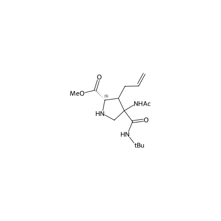 C=CCC1[C@@H](C(=O)OC)NCC1(NC(C)=O)C(=O)NC(C)(C)C